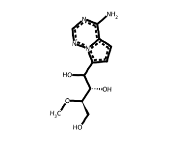 CO[C@H](CO)[C@@H](O)C(O)c1ccc2c(N)ncnn12